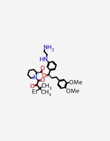 CCC(C)(C)C(=O)C(=O)N1CCCC[C@H]1C(=O)O[C@H](CCc1ccc(OC)c(OC)c1)c1cccc(NCCN)c1